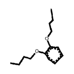 CCCCOc1c[c][c]cc1OCCCC